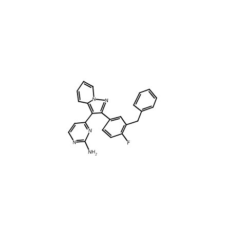 Nc1nccc(-c2c(-c3ccc(F)c(Cc4ccccc4)c3)nn3ccccc23)n1